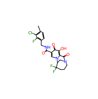 Cc1ccc(CNC(=O)c2cn3c(c(O)c2=O)C(=O)N2CCCC(F)(F)C3C2)c(F)c1Cl